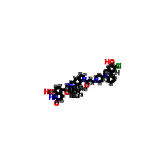 COc1cc2c(cc1CNC[C@H](O[Si](C)(C)C(C)(C)C)c1ccc(O)c3[nH]c(=O)ccc13)CCN2C(=O)CCN1CCC(N(C(=O)O)c2ccccc2-c2ccc(O)c(Cl)c2)CC1